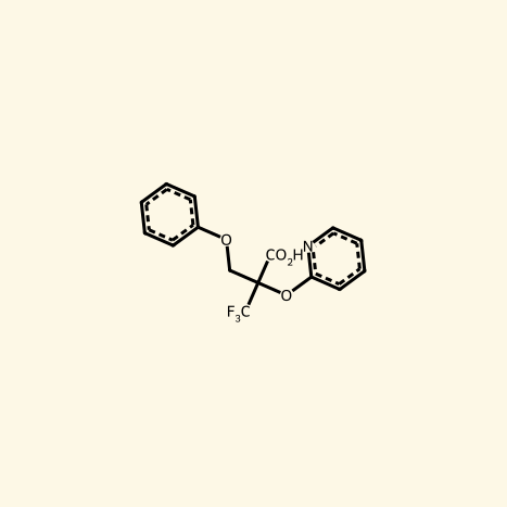 O=C(O)C(COc1ccccc1)(Oc1ccccn1)C(F)(F)F